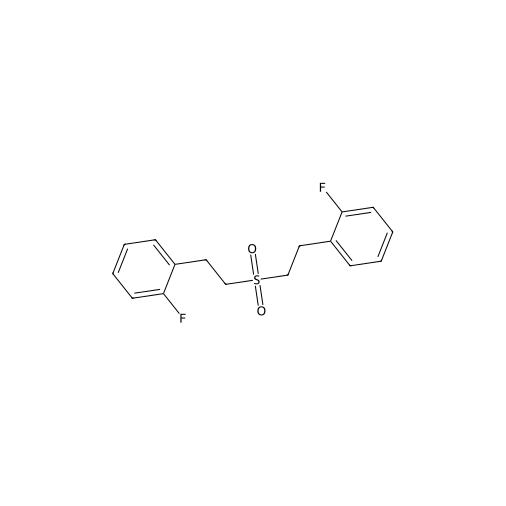 O=S(=O)(CCc1ccccc1F)CCc1ccccc1F